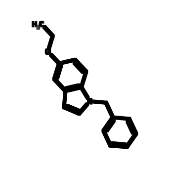 CCOc1ccc2c(ccn2Cc2ccccc2)c1